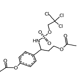 CC(=O)OCCC(NS(=O)(=O)OCC(Cl)(Cl)Cl)c1ccc(OC(C)=O)cc1